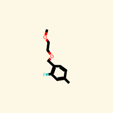 COCCOCc1ccc(C)cc1F